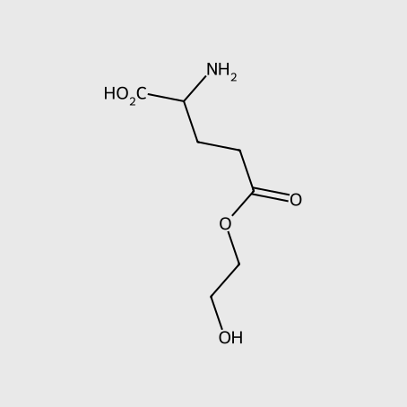 NC(CCC(=O)OCCO)C(=O)O